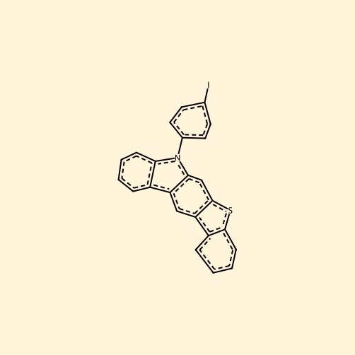 Ic1ccc(-n2c3ccccc3c3cc4c(cc32)sc2ccccc24)cc1